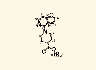 CC(C)(C)OC(=O)N1CCN(c2nccc3occc23)CC1